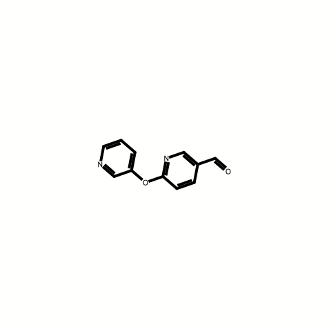 O=Cc1ccc(Oc2cccnc2)nc1